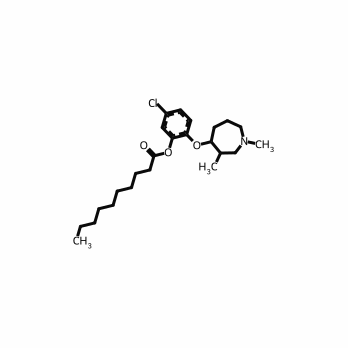 CCCCCCCCCC(=O)Oc1cc(Cl)ccc1OC1CCCN(C)CC1C